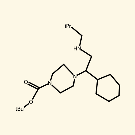 CC(C)CNCC(C1CCCCC1)N1CCN(C(=O)OC(C)(C)C)CC1